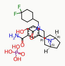 NC(=O)c1cccc([C@H]2C[C@H]3CC[C@@H](C2)N3CCN(CC2CCC(F)(F)CC2)C(=O)CO)c1.O=P(O)(O)O